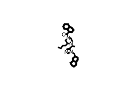 CCCCC1CN(C(=O)c2cccc3ccccc23)CCN1C(C)c1cncn1Cc1ccc2ccccc2c1